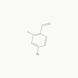 O=[C]c1ccc(Br)cc1I